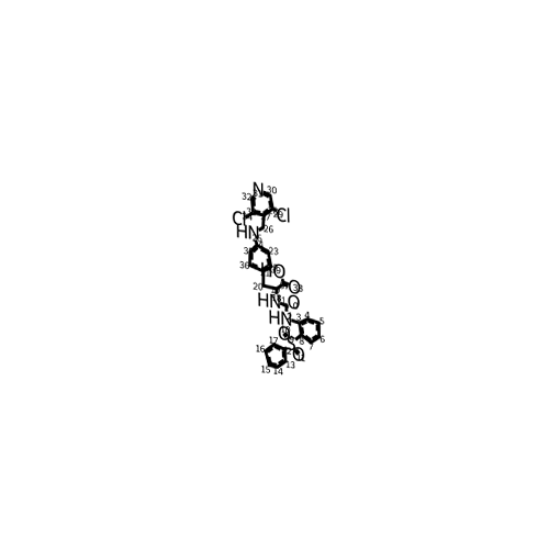 O=C(Nc1ccccc1S(=O)(=O)c1ccccc1)NC(Cc1ccc(NCc2c(Cl)cncc2Cl)cc1)C(=O)O